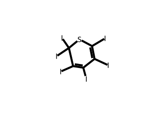 IC1=C(I)C(I)=C(I)C(I)(I)S1